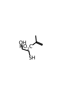 C=C(C)C(=O)O.OCCS